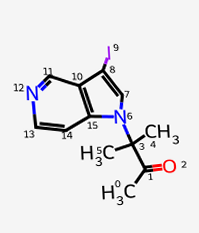 CC(=O)C(C)(C)n1cc(I)c2cnccc21